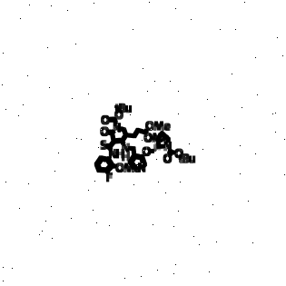 COc1c(F)cccc1NC(=S)C1=C(NCc2ccncc2OC[C@@H]2CCCN2C(=O)OC(C)(C)C)C(CCC(OC)OC)CN(C(=O)OC(C)(C)C)C1=O